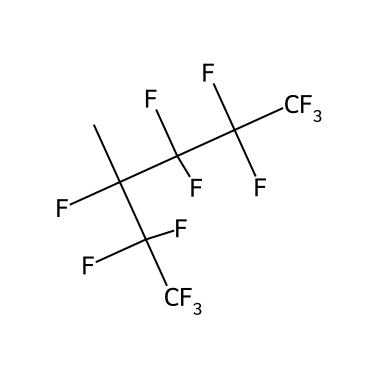 CC(F)(C(F)(F)C(F)(F)F)C(F)(F)C(F)(F)C(F)(F)F